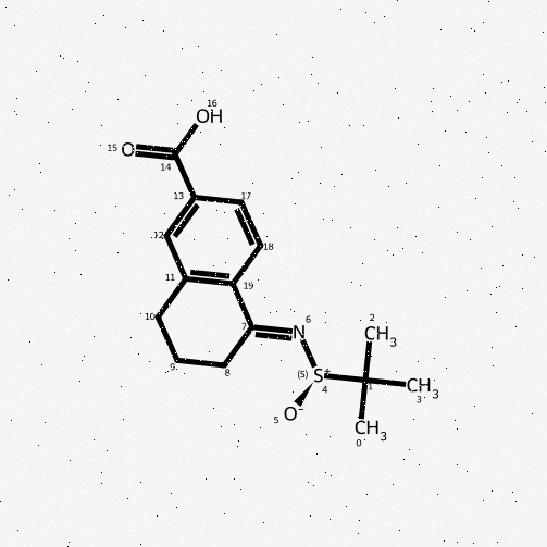 CC(C)(C)[S@@+]([O-])N=C1CCCc2cc(C(=O)O)ccc21